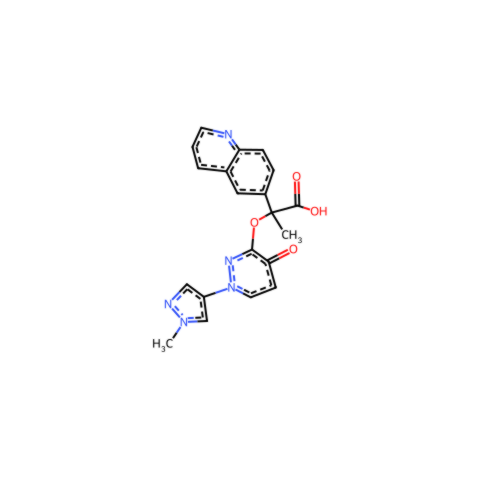 Cn1cc(-n2ccc(=O)c(OC(C)(C(=O)O)c3ccc4ncccc4c3)n2)cn1